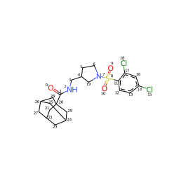 O=C(NCC1CCN(S(=O)(=O)c2ccc(Cl)cc2Cl)C1)C12CC3CC(CC(C3)C1)C2